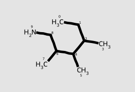 CCC(C)C(C)C(C)CN